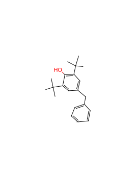 CC(C)(C)c1cc(Cc2cc[c]cc2)cc(C(C)(C)C)c1O